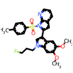 COc1cc2c(-c3cc4cccnc4n3S(=O)(=O)c3ccc(C)cc3)cn(CCCF)c2cc1OC